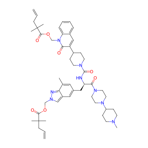 C=CCC(C)(C)C(=O)OCn1cc2cc(C[C@@H](NC(=O)N3CCC(c4cc5ccccc5n(COC(=O)C(C)(C)CC=C)c4=O)CC3)C(=O)N3CCN(C4CCN(C)CC4)CC3)cc(C)c2n1